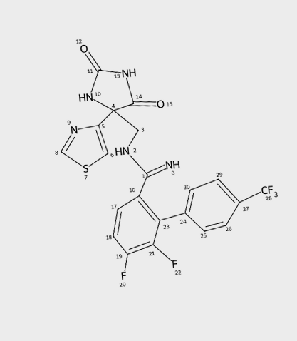 N=C(NCC1(c2cscn2)NC(=O)NC1=O)c1ccc(F)c(F)c1-c1ccc(C(F)(F)F)cc1